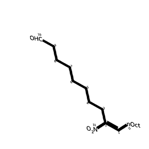 CCCCCCCC/C=C(\CCCCCCCC=O)[N+](=O)[O-]